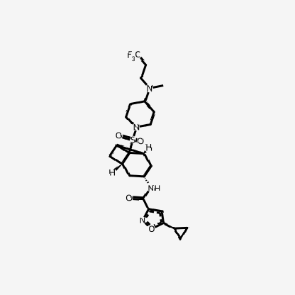 CN(CCC(F)(F)F)C1CCN(S(=O)(=O)C23C4C[C@H]2C[C@@H](NC(=O)c2cc(C5CC5)on2)C[C@@H]43)CC1